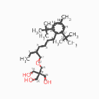 CCC(CCCCc1c(C(C)(C)C)cc(C)cc1C(C)(C)C)COCC(CO)(CO)CO